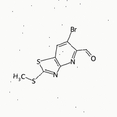 CSc1nc2nc(C=O)c(Br)cc2s1